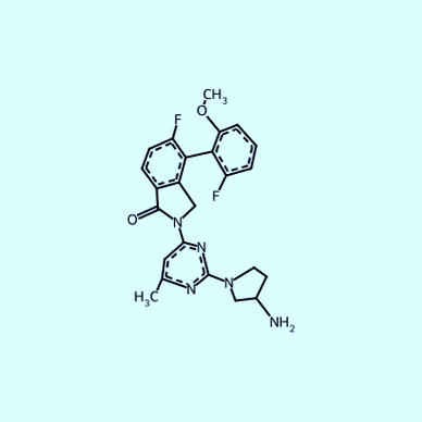 COc1cccc(F)c1-c1c(F)ccc2c1CN(c1cc(C)nc(N3CCC(N)C3)n1)C2=O